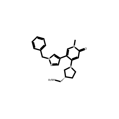 CC(=O)NC[C@H]1CCN(c2cc(=O)n(C)cc2-c2cnn(Cc3ccccc3)c2)C1